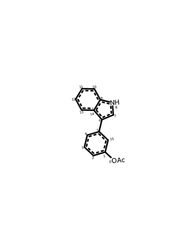 CC(=O)Oc1cccc(-c2c[nH]c3ccccc23)c1